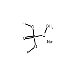 BOP(=O)(OF)OF.[Na]